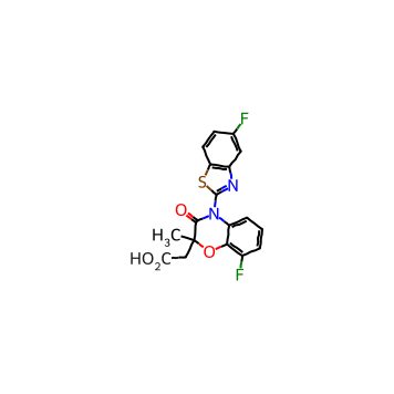 CC1(CC(=O)O)Oc2c(F)cccc2N(c2nc3cc(F)ccc3s2)C1=O